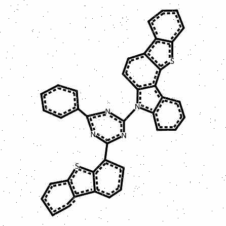 c1ccc(-c2nc(-c3cccc4c3sc3ccccc34)nc(-n3c4ccccc4c4c5sc6ccccc6c5ccc43)n2)cc1